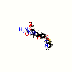 NC(=O)N1C[C@@H]2CC[C@]1(OC=O)CN2Cc1coc2cc(Oc3nc4ncccc4s3)ccc12